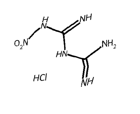 Cl.N=C(N)NC(=N)N[N+](=O)[O-]